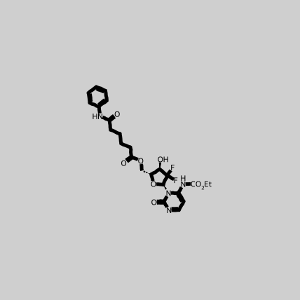 CCOC(=O)Nc1ccnc(=O)n1[C@@H]1O[C@H](COC(=O)CCCCC(=O)Nc2ccccc2)[C@@H](O)C1(F)F